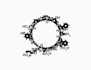 C#CC[C@H](NC(=O)CNC(=O)[C@@H]1CSCC(=O)N[C@@H](Cc2ccc(O)cc2)C(=O)N(C)[C@@H](C)C(=O)N[C@@H](CC(=O)O)C(=O)N2CCC[C@H]2C(=O)N[C@@H](CN)C(=O)N[C@@H](CC(C)C)C(=O)N2C[C@H](O)C[C@H]2C(=O)N[C@@H](Cc2c[nH]c3ccccc23)C(=O)N[C@@H](CCN)C(=O)N[C@@H](Cc2cn(CC(=O)O)c3ccccc23)C(=O)N(C)[C@@H](CCCC)C(=O)N(C)[C@@H](CCCC)C(=O)N[C@@H](CCC(=O)O)C(=O)N1)C(=O)O